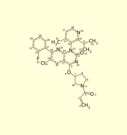 C=CC(=O)N1CCC(Oc2nc(=O)n(-c3c(C)ccnc3C(C)C)c3nc(-c4ccccc4F)c(Cl)cc23)C1